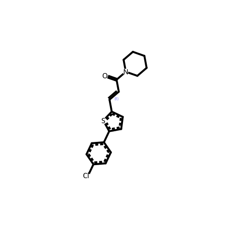 O=C(/C=C/c1ccc(-c2ccc(Cl)cc2)s1)N1CCCCC1